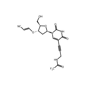 N#C/C=C/O[C@H]1C[C@H](n2cc(C#CCNC(=O)C(F)(F)F)c(=O)[nH]c2=O)O[C@@H]1CO